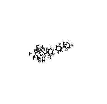 CC(CCn1ccc(-c2ccc(-c3ccccn3)cc2)cc1=O)(C(=O)NO)S(C)(=O)=O